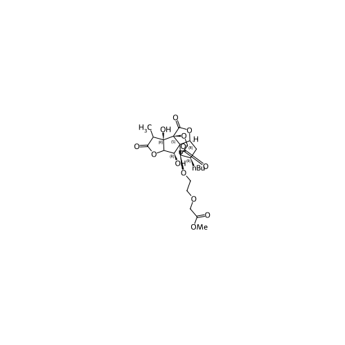 CCCC[C@@H]1CC2OC(=O)[C@]34O[C@@H]5OC(=O)[C@H](OCCOCC(=O)OC)C15C23[C@@H](O)C1OC(=O)C(C)[C@@]14O